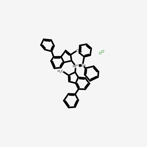 CC1=Cc2c(-c3ccccc3)cccc2[CH]1[Hf+2]([CH]1C(C)=Cc2c(-c3ccccc3)cccc21)=[Ge]([c]1ccccc1)[c]1ccccc1.[Cl-].[Cl-]